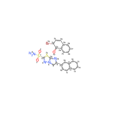 NS(=O)(=O)c1nn2cc(-c3ccc4ccccc4c3)nc2s1.O=C1c2ccccc2C=CC1Br